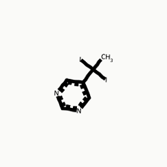 CC(I)(I)c1cncnc1